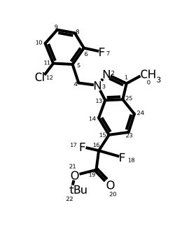 Cc1nn(Cc2c(F)cccc2Cl)c2cc(C(F)(F)C(=O)OC(C)(C)C)ccc12